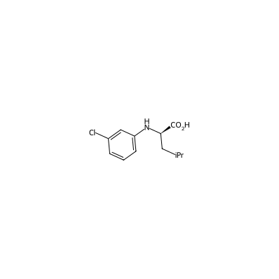 CC(C)C[C@@H](Nc1cccc(Cl)c1)C(=O)O